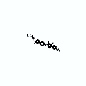 C=CCCOc1ccc(C2CCC(/C=C/c3ccc(C4CCC(OCC)CC4)c(F)c3F)CC2)cc1F